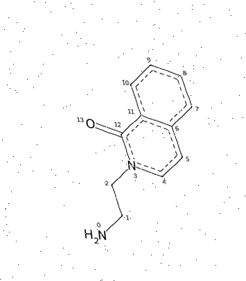 NCCn1ccc2ccccc2c1=O